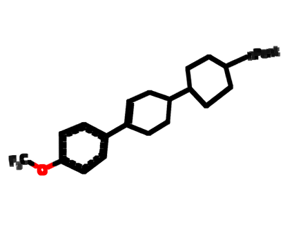 CCCCCC1CCC(C2CC=C(c3ccc(OC(F)(F)F)cc3)CC2)CC1